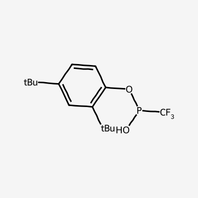 CC(C)(C)c1ccc(OP(O)C(F)(F)F)c(C(C)(C)C)c1